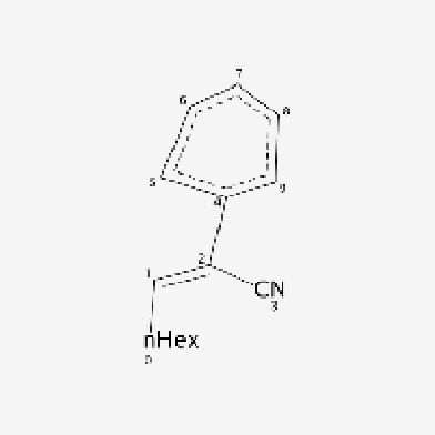 CCCCCC/C=C(\C#N)c1ccccc1